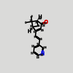 CC1(C)[C@@H]2C[C@H]1C(/C=C/c1cccnc1)=CC2=O